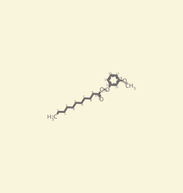 CCCCCCCCCCC(=O)OOc1cccc(OC)c1